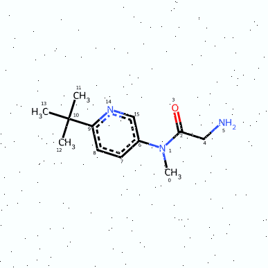 CN(C(=O)CN)c1ccc(C(C)(C)C)nc1